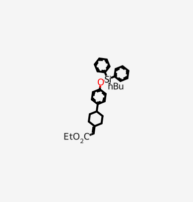 CCCC[Si](Oc1ccc(C2CCC(=CC(=O)OCC)CC2)cc1)(c1ccccc1)c1ccccc1